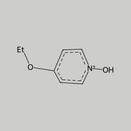 CCOc1cc[n+](O)cc1